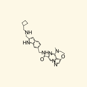 CN1CCOc2cnn3cc(C(=O)NCc4ccc5cc(CNCC6CCC6)[nH]c5c4)nc1c23